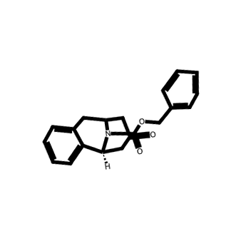 O=C1CC2Cc3ccccc3[C@H](C1)N2C(=O)OCc1ccccc1